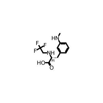 CNc1cccc(C[C@@H](NCC(F)(F)F)C(=O)O)c1